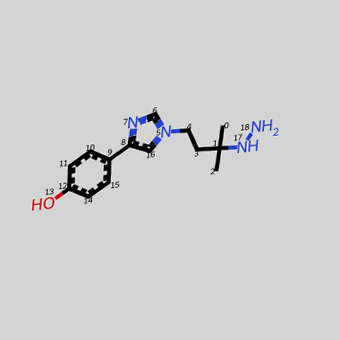 CC(C)(CCn1cnc(-c2ccc(O)cc2)c1)NN